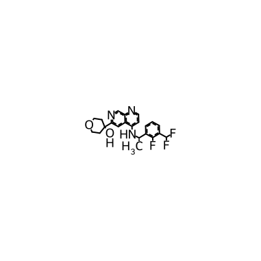 C[C@@H](Nc1ccnc2cnc(C3(O)CCOCC3)cc12)c1cccc(C(F)F)c1F